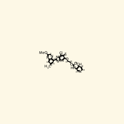 COc1cnc2c(-c3nc4c(Cl)c(F)c(OCCOC(=O)Nc5cnccc5C)cc4s3)cc(C)cc2n1